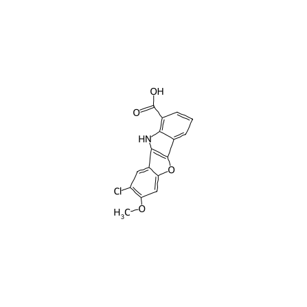 COc1cc2oc3c4cccc(C(=O)O)c4[nH]c3c2cc1Cl